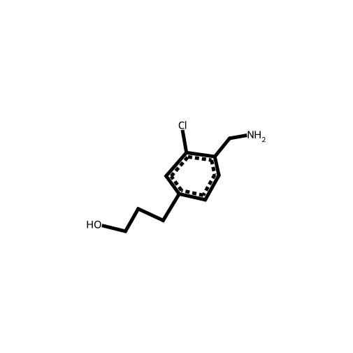 NCc1ccc(CCCO)cc1Cl